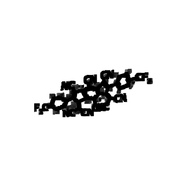 N#CC(C#N)=C1C(c2ccc(C(F)(F)F)cc2)=C(C#N)c2c(C#N)c3c(c(C#N)c21)C(=C(C#N)C#N)C(c1ccc(C(F)(F)F)cc1)=C3C#N